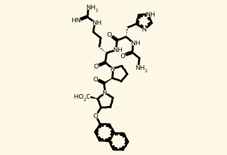 N=C(N)NCCC[C@H](NC(=O)[C@H](Cc1c[nH]cn1)NC(=O)CN)C(=O)N1CCC[C@H]1C(=O)N1CCC(Oc2ccc3ccccc3c2)[C@H]1C(=O)O